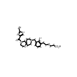 CC(C)c1nc(C(=O)N2CCOC3(CCN(Cc4cccc(CCOCCC(=O)O)c4F)CC3)C2)cs1